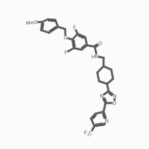 COc1ccc(COc2c(F)cc(C(=O)NCC3CCC(c4noc(-c5ccc(C(F)(F)F)cn5)n4)CC3)cc2F)cc1